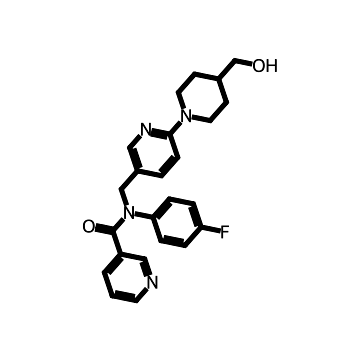 O=C(c1cccnc1)N(Cc1ccc(N2CCC(CO)CC2)nc1)c1ccc(F)cc1